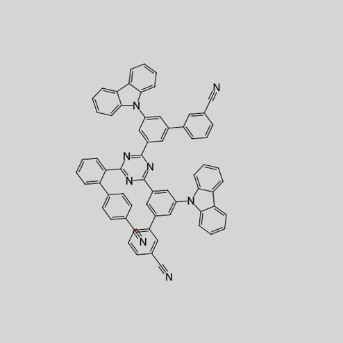 N#Cc1ccc(-c2ccccc2-c2nc(-c3cc(-c4cccc(C#N)c4)cc(-n4c5ccccc5c5ccccc54)c3)nc(-c3cc(-c4cccc(C#N)c4)cc(-n4c5ccccc5c5ccccc54)c3)n2)cc1